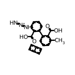 Cc1cccc(-c2ccccc2C(=O)O)c1C(=O)O.N=[N+]=N.c1cc2ccc1-2